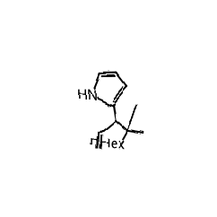 C=CC(c1ccc[nH]1)C(C)(C)CCCCCC